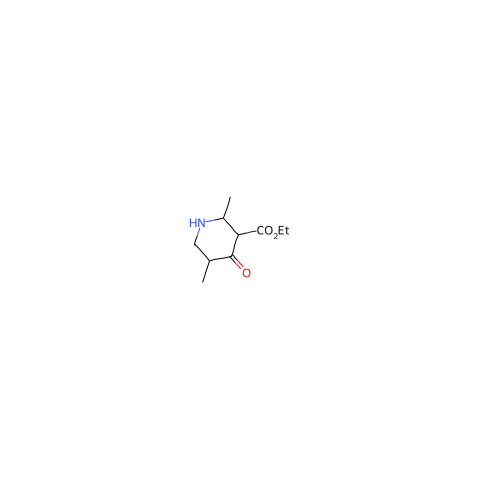 CCOC(=O)C1C(=O)C(C)CNC1C